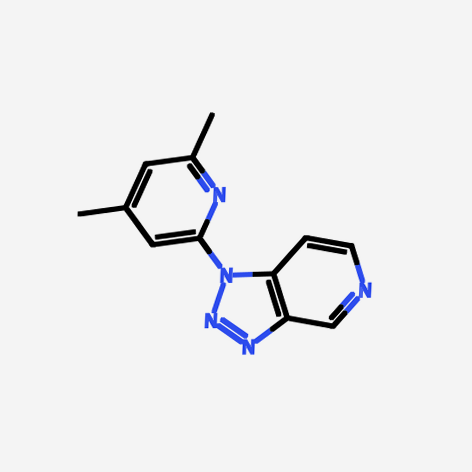 Cc1cc(C)nc(-n2nnc3cnccc32)c1